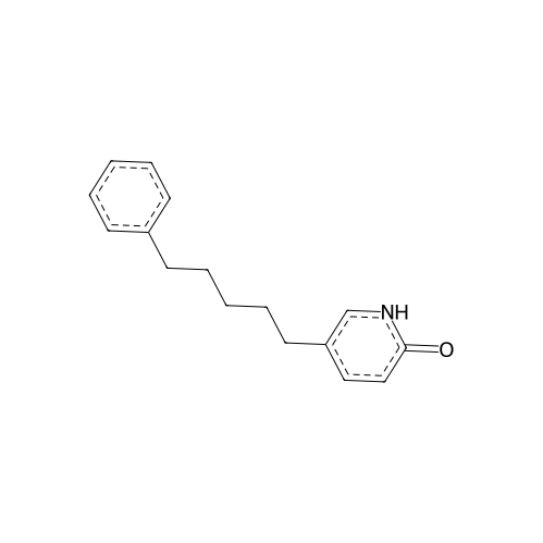 O=c1ccc(CCCCCc2ccccc2)c[nH]1